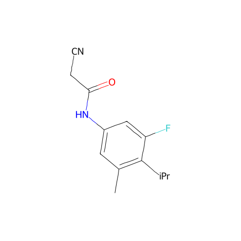 Cc1cc(NC(=O)CC#N)cc(F)c1C(C)C